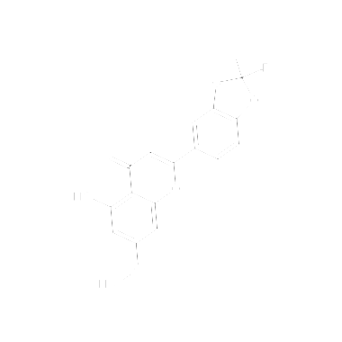 COc1cc(O)c2c(=O)cc(-c3ccc4c(c3)OC(F)(F)O4)oc2c1